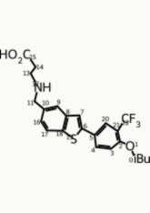 CCC(C)Oc1ccc(-c2cc3cc(CNCCC(=O)O)ccc3s2)cc1C(F)(F)F